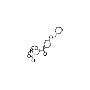 O=C(CCC1C(=O)OCN1C(=O)O)c1ccc(OCc2ccccc2)cc1